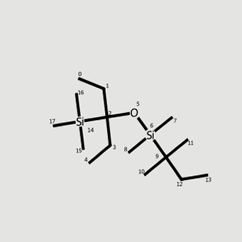 CCC(CC)(O[Si](C)(C)C(C)(C)CC)[Si](C)(C)C